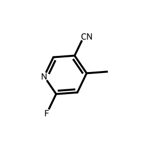 Cc1cc(F)ncc1C#N